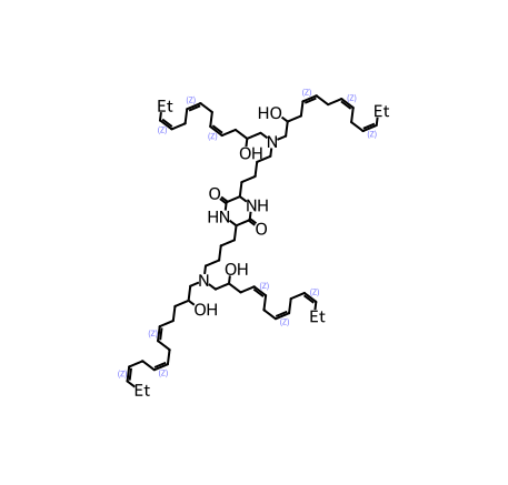 CC/C=C\C/C=C\C/C=C\CCC(O)CN(CCCCC1NC(=O)C(CCCCN(CC(O)C/C=C\C/C=C\C/C=C\CC)CC(O)C/C=C\C/C=C\C/C=C\CC)NC1=O)CC(O)C/C=C\C/C=C\C/C=C\CC